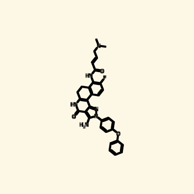 CN(C)C/C=C/C(=O)Nc1c(F)ccc2c1CCc1[nH]c(=O)c3c(N)n(-c4ccc(Oc5ccccc5)cc4)nc3c1-2